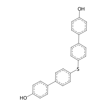 Oc1ccc(-c2ccc(Sc3ccc(-c4ccc(O)cc4)cc3)cc2)cc1